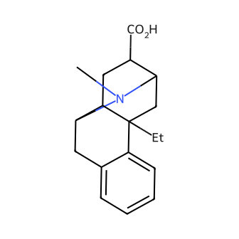 CCC12CC3C(C(=O)O)CC1C(Cc1ccccc12)N3C